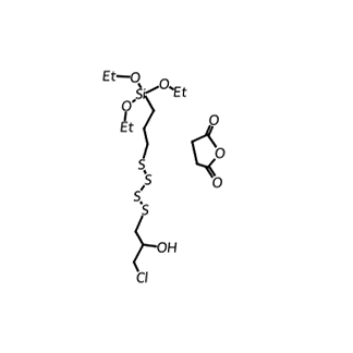 CCO[Si](CCCSSSSCC(O)CCl)(OCC)OCC.O=C1CCC(=O)O1